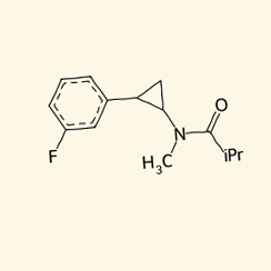 CC(C)C(=O)N(C)C1CC1c1cccc(F)c1